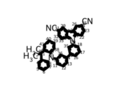 CC1(C)c2ccccc2N(c2cccc(-c3cccc(-n4c5ccc(C#N)cc5c5cc(C#N)ccc54)c3)c2)c2ccccc21